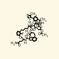 CC(=O)O[C@@H]1C[C@@H](C(=O)N[C@@H](C)c2ccc(-c3scnc3C)cc2)N(C(=O)[C@@H](NC(=O)CCCCCc2cccc(OC[C@H](CCC(N)=O)NC(=O)[C@@H]3Cc4cccc5c4N3C(=O)[C@@H](C)CC5)c2F)C(C)(C)C)C1